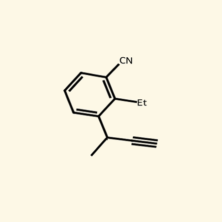 C#C[C](C)c1cccc(C#N)c1CC